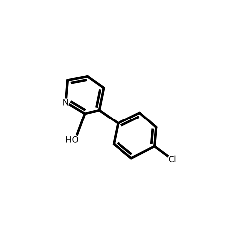 Oc1ncccc1-c1ccc(Cl)cc1